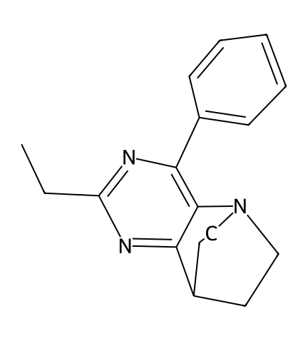 CCc1nc(-c2ccccc2)c2c(n1)C1CCN2CC1